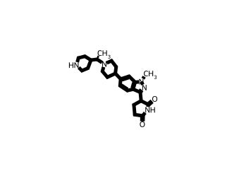 C[C@H](C1CCNCC1)N1CCC(c2ccc3c(C4CCC(=O)NC4=O)nn(C)c3c2)CC1